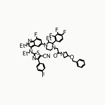 CCC1C(c2ccc(F)c(F)c2F)N(CC(=O)N2CC(OCc3ccccc3)C2)CCN1c1cc(F)c2nn(CC)c(N(CC)c3nc(-c4ccc(F)cc4)c(C#N)s3)c2c1